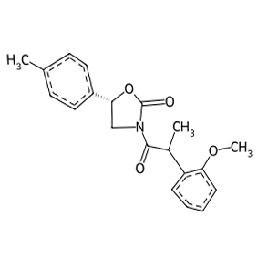 COc1ccccc1C(C)C(=O)N1C[C@H](c2ccc(C)cc2)OC1=O